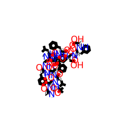 CC(C)C[C@@H](C(=O)N(C)[C@H](C(=O)N[C@@H](Cc1ccccc1)C(=O)N[C@@H](CC(=O)O)C(=O)N(C)[C@@H](Cc1ccccc1)C(=O)N[C@@H](C)C(=O)O)C(C)C)N(C)C(=O)CNC(=O)[C@H](Cc1ccccc1)N(C)C(=O)[C@@H](NC(=O)[C@H](CC(C)C)N(C)C(=O)[C@@H](NC(=O)[C@H](C)N(C)C(=O)OC(C)(C)C)C(C)C)[C@@H](C)OC(c1ccccc1)(c1ccccc1)c1ccccc1